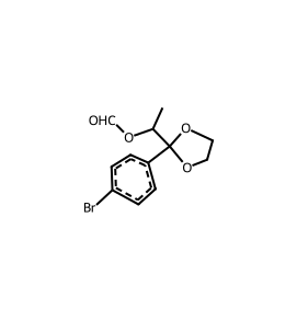 CC(OC=O)C1(c2ccc(Br)cc2)OCCO1